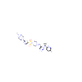 Cc1ccc(C2(n3cncc3CN3CCN(S(=O)(=O)c4cnc(N5CCN(C)CC5)s4)CC3)CC2)nc1